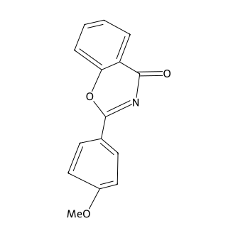 COc1ccc(-c2nc(=O)c3ccccc3o2)cc1